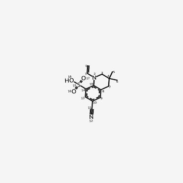 C=CN1CC(C)(C)Cc2cc(C#N)cc(S(=O)(=O)O)c21